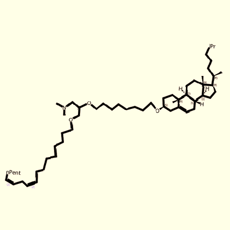 CCCCC/C=C\C/C=C\CCCCCCCCOCC(CN(C)C)OCCCCCCCCO[C@H]1CC[C@@]2(C)C(=CC[C@H]3[C@@H]4CC[C@H]([C@H](C)CCCC(C)C)[C@@]4(C)CC[C@@H]32)C1